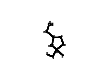 CCC1(C)CCC(SO)O1